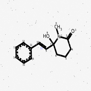 CN1C(=O)CCCC1(O)/C=C/c1ccccc1